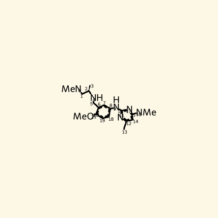 CNC[C@@H](C)NCc1cc(Nc2nc(C)cc(NC)n2)ccc1OC